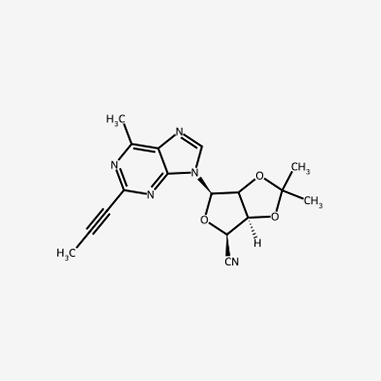 CC#Cc1nc(C)c2ncn([C@@H]3O[C@H](C#N)[C@@H]4OC(C)(C)OC43)c2n1